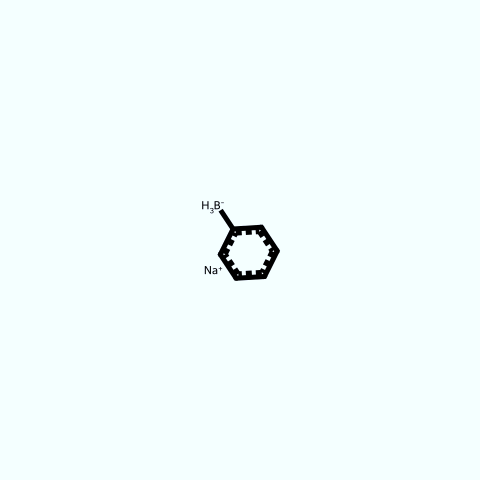 [BH3-]c1ccccc1.[Na+]